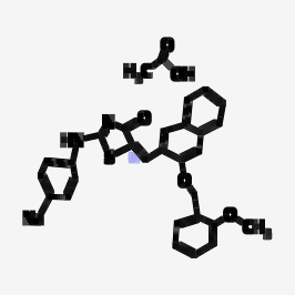 CC(=O)O.COc1ccccc1COc1cc2ccccc2cc1/C=C1/SC(Nc2cc[c]([Na])cc2)=NC1=O